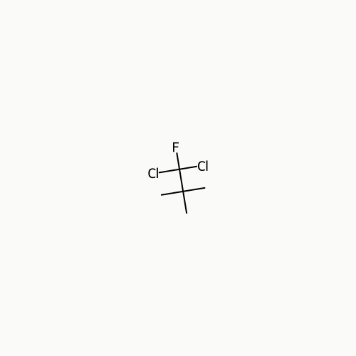 CC(C)(C)C(F)(Cl)Cl